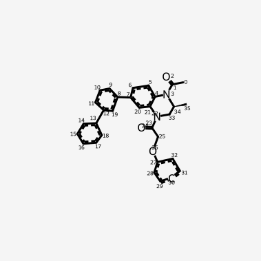 CC(=O)N1c2ccc(-c3cccc(-c4ccccc4)c3)cc2N(C(=O)COc2ccccc2)C[C@@H]1C